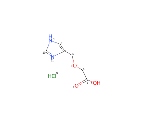 Cl.O=C(O)COCc1c[nH]cn1